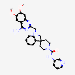 COc1cc2nc(CNCC3(c4ccccc4)CCN(C(=O)Nc4cccnc4)CC3)nc(N)c2cc1OC